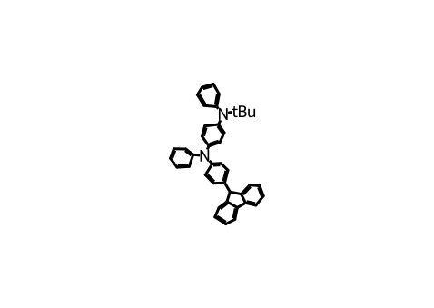 CC(C)(C)N(c1ccccc1)c1ccc(N(c2ccccc2)c2ccc(C3c4ccccc4-c4ccccc43)cc2)cc1